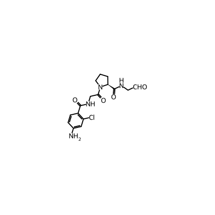 Nc1ccc(C(=O)NCC(=O)N2CCC[C@H]2C(=O)NCC=O)c(Cl)c1